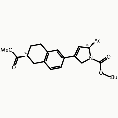 COC(=O)[C@H]1CCc2cc(C3=C[C@@H](C(C)=O)N(C(=O)OC(C)(C)C)C3)ccc2C1